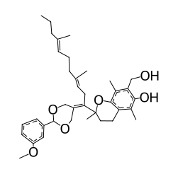 CCC/C(C)=C/CC/C(C)=C/CC(=C1COC(c2cccc(OC)c2)OC1)C1(C)CCc2c(C)c(O)c(CO)c(C)c2O1